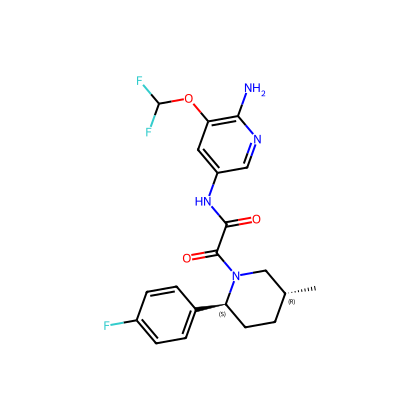 C[C@@H]1CC[C@@H](c2ccc(F)cc2)N(C(=O)C(=O)Nc2cnc(N)c(OC(F)F)c2)C1